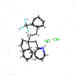 Cl.Cl.FC(F)(F)c1ccccc1[CH2][Cr][C]1(Cc2ccccn2)C=Cc2ccccc21